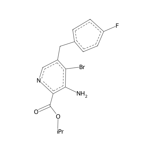 CC(C)OC(=O)c1ncc(Cc2ccc(F)cc2)c(Br)c1N